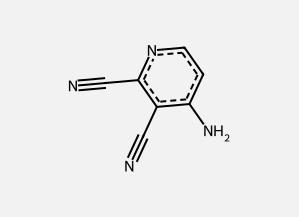 N#Cc1nccc(N)c1C#N